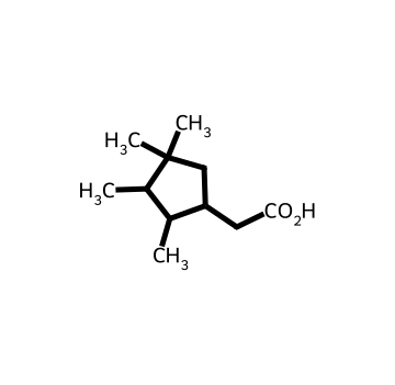 CC1C(CC(=O)O)CC(C)(C)C1C